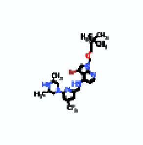 C[C@@H]1CN(c2cc(C(F)(F)F)cc(CNc3ccnc4c3c(Br)cn4COCC[Si](C)(C)C)n2)C[C@H](C)N1